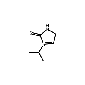 CC(C)S1=CCNC1=S